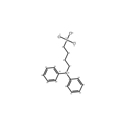 Cl[Si](Cl)(Cl)CCCCN(c1ccccc1)c1ccccc1